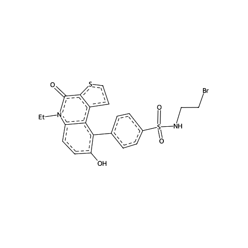 CCn1c(=O)c2sccc2c2c(-c3ccc(S(=O)(=O)NCCBr)cc3)c(O)ccc21